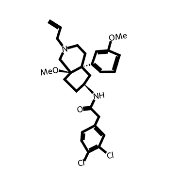 C=CCN1CC[C@@]2(c3cccc(OC)c3)C[C@@H](NC(=O)Cc3ccc(Cl)c(Cl)c3)CC[C@]2(OC)C1